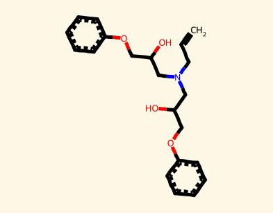 C=CCN(CC(O)COc1ccccc1)CC(O)COc1ccccc1